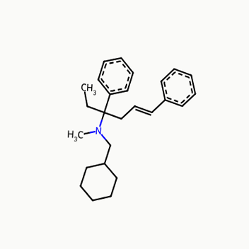 CCC(CC=Cc1ccccc1)(c1ccccc1)N(C)CC1CCCCC1